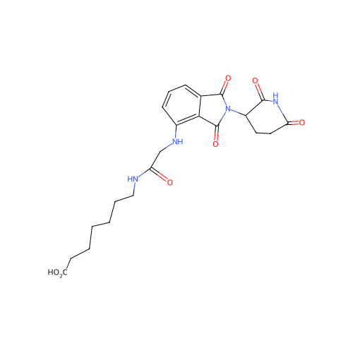 O=C(O)CCCCCCNC(=O)CNc1cccc2c1C(=O)N(C1CCC(=O)NC1=O)C2=O